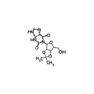 CC1(C)OC2C(CO)OC(n3c(=O)[nH]c4[nH]cnc4c3=O)C2O1